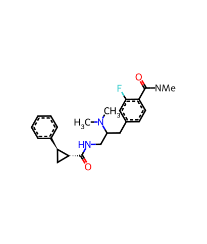 CNC(=O)c1ccc(CC(CNC(=O)[C@@H]2C[C@H]2c2ccccc2)N(C)C)cc1F